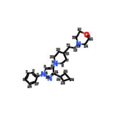 c1ccc(-n2cc(N3CCC(CCN4CCOCC4)CC3)c(C3CCC3)n2)cc1